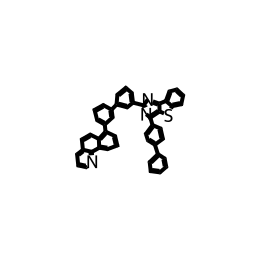 c1ccc(-c2ccc(-c3nc(-c4cccc(-c5cccc(-c6cccc7c6ccc6cccnc67)c5)c4)nc4c3sc3ccccc34)cc2)cc1